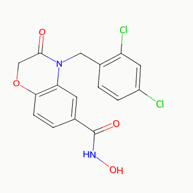 O=C(NO)c1ccc2c(c1)N(Cc1ccc(Cl)cc1Cl)C(=O)CO2